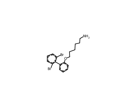 NCCCCCCOc1ccccc1-c1c(Br)cccc1Br